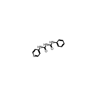 O=C(NC(=O)Nc1ccncc1)Nc1ccccc1